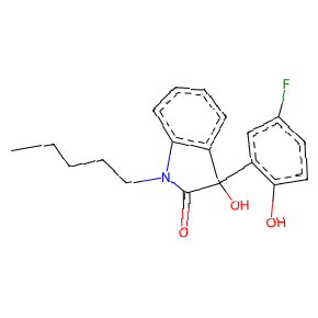 CCCCCN1C(=O)C(O)(c2cc(F)ccc2O)c2ccccc21